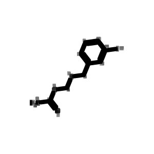 CC(=O)OCSCc1cccc(I)c1